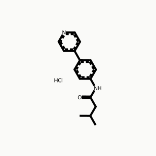 CC(C)CC(=O)Nc1ccc(-c2ccncc2)cc1.Cl